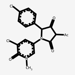 CC(=O)C1C(=O)C(c2ccc(Cl)cc2)N(c2cc(Cl)c(=O)n(C)c2)C1=O